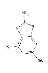 CC(C)(C)c1cc(S)c2nc(N)sc2c1